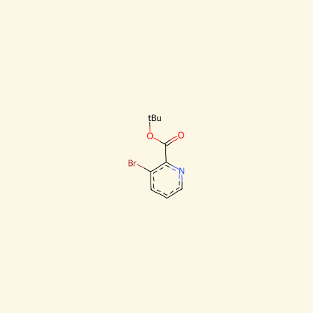 CC(C)(C)OC(=O)c1ncccc1Br